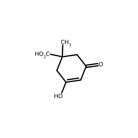 CC1(C(=O)O)CC(=O)C=C(O)C1